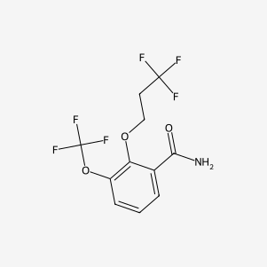 NC(=O)c1cccc(OC(F)(F)F)c1OCCC(F)(F)F